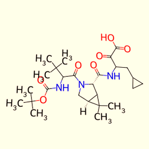 CC(C)(C)OC(=O)NC(C(=O)N1C[C@H]2C([C@H]1C(=O)NC(CC1CC1)C(=O)C(=O)O)C2(C)C)C(C)(C)C